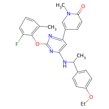 CCOc1ccc(C(C)Nc2cc(-c3ccc(=O)n(C)c3)nc(Oc3c(C)cccc3F)n2)cc1